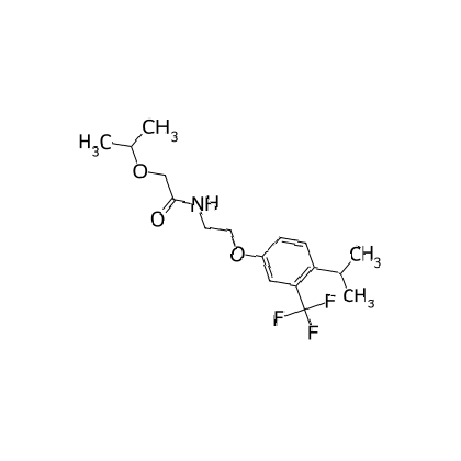 CC(C)OCC(=O)NCCOc1ccc(C(C)C)c(C(F)(F)F)c1